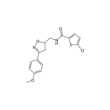 COc1ccc(C2=NOC(CNC(=O)c3ccc(Cl)s3)C2)cc1